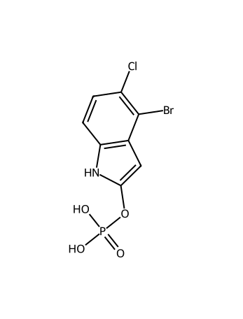 O=P(O)(O)Oc1cc2c(Br)c(Cl)ccc2[nH]1